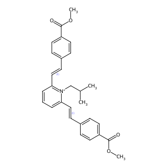 COC(=O)c1ccc(/C=C/c2cccc(/C=C/c3ccc(C(=O)OC)cc3)[n+]2CC(C)C)cc1